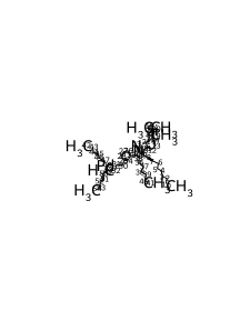 CCCCCCCC#CC1=C(c2cccc(C[Si](C)(C)C)c2)[N+](=[N-])C(c2cccc(CCCC)c2)=C1CCCCCC.CCCCC[CH2][Pd][CH2]CCCCC